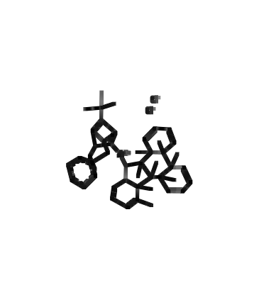 CCC1[C]([Zr+2][CH]2C3C=CC=C(C)C3(C)C3(C)C4(C)C=CC=CC4(C)C4(C)C=CC=CC4(C)C23C)=C2C(C(C)(C)C)=C1C2Cc1ccccc1.[Cl-].[Cl-]